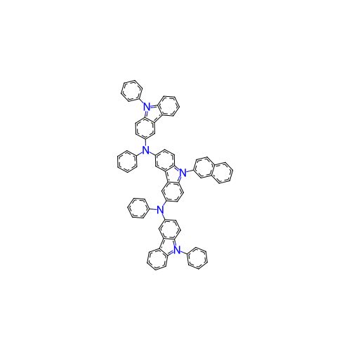 c1ccc(N(c2ccc3c(c2)c2ccccc2n3-c2ccccc2)c2ccc3c(c2)c2cc(N(c4ccccc4)c4ccc5c(c4)c4ccccc4n5-c4ccccc4)ccc2n3-c2ccc3ccccc3c2)cc1